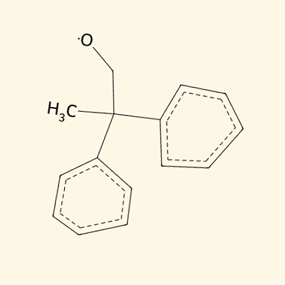 CC(C[O])(c1ccccc1)c1ccccc1